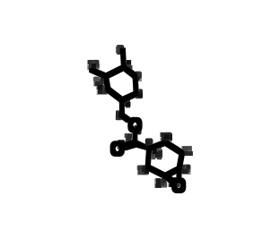 CC1CCC(COC(=O)[C@H]2CCC3OC3C2)CC1C